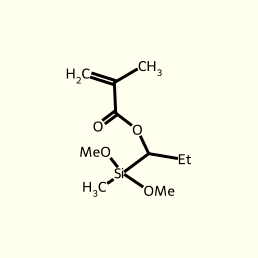 C=C(C)C(=O)OC(CC)[Si](C)(OC)OC